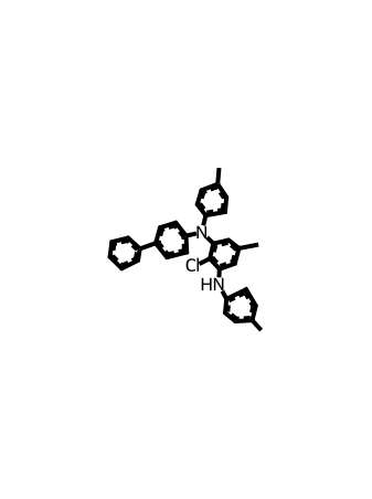 Cc1ccc(Nc2cc(C)cc(N(c3ccc(C)cc3)c3ccc(-c4ccccc4)cc3)c2Cl)cc1